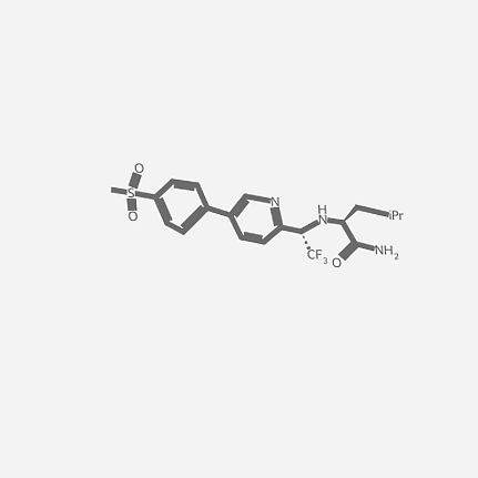 CC(C)C[C@H](N[C@@H](c1ccc(-c2ccc(S(C)(=O)=O)cc2)cn1)C(F)(F)F)C(N)=O